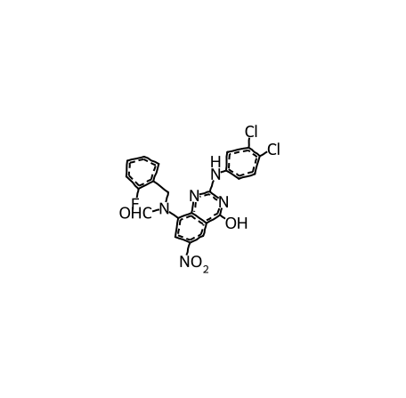 O=CN(Cc1ccccc1F)c1cc([N+](=O)[O-])cc2c(O)nc(Nc3ccc(Cl)c(Cl)c3)nc12